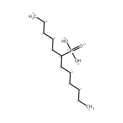 CCCCCCC(CCCCC)P(=O)(O)O